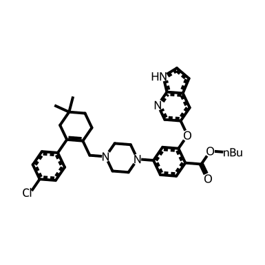 CCCCOC(=O)c1ccc(N2CCN(CC3=C(c4ccc(Cl)cc4)CC(C)(C)CC3)CC2)cc1Oc1cnc2[nH]ccc2c1